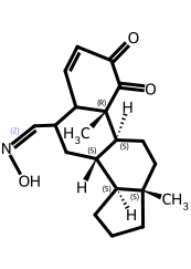 C[C@@]12CCC[C@H]1[C@@H]1CC(/C=N\O)C3C=CC(=O)C(=O)[C@]3(C)[C@H]1CC2